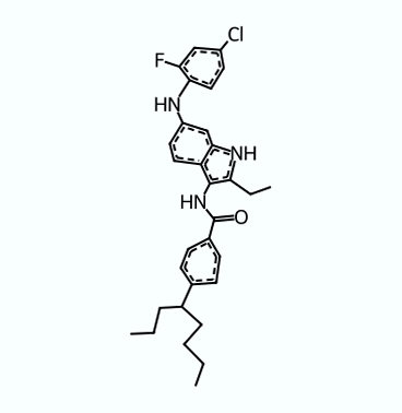 CCCCC(CCC)c1ccc(C(=O)Nc2c(CC)[nH]c3cc(Nc4ccc(Cl)cc4F)ccc23)cc1